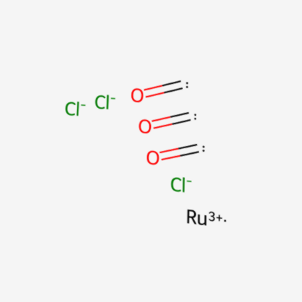 [C]=O.[C]=O.[C]=O.[Cl-].[Cl-].[Cl-].[Ru+3]